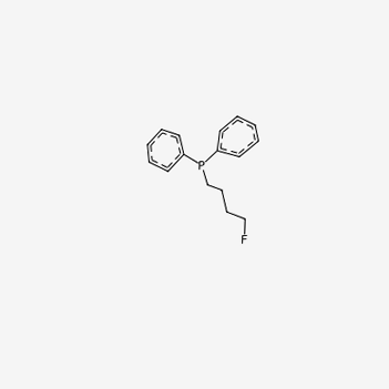 FCCCCP(c1ccccc1)c1ccccc1